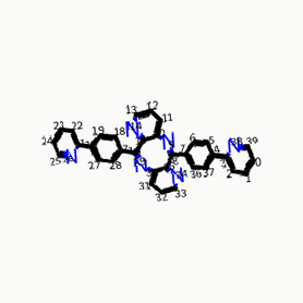 c1ccc(-c2ccc(/C3=N/c4cccnc4/C(c4ccc(-c5ccccn5)cc4)=N\c4cccnc43)cc2)nc1